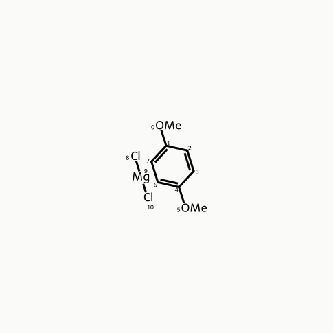 COc1[c]cc(OC)cc1.[Cl][Mg][Cl]